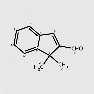 CC1(C)C(C=O)=Cc2ccccc21